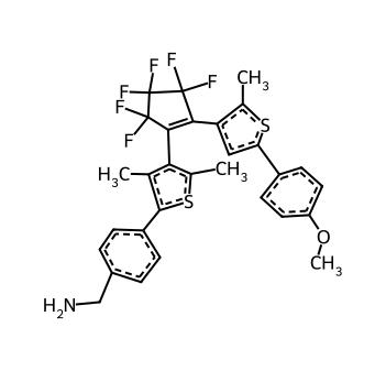 COc1ccc(-c2cc(C3=C(c4c(C)sc(-c5ccc(CN)cc5)c4C)C(F)(F)C(F)(F)C3(F)F)c(C)s2)cc1